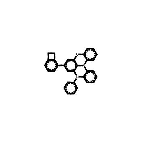 c1ccc(N2c3ccccc3B3c4ccccc4Oc4cc(-c5cccc6c5CC6)cc2c43)cc1